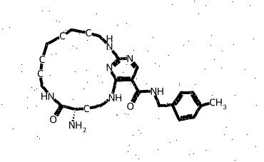 Cc1ccc(CNC(=O)c2cnc3nc2NCC[C@H](N)C(=O)NCCCCCCCCN3)cc1